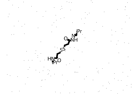 CC(C)/C=N/NC(=O)CCSSCCC(=O)NC(C)C